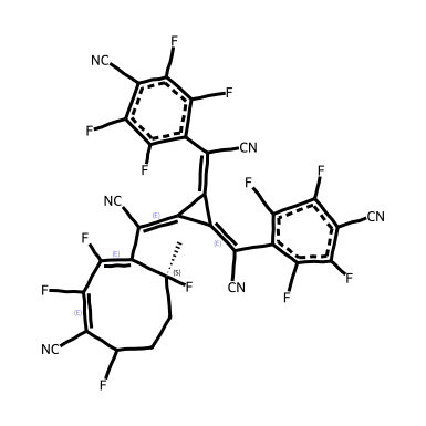 C[C@]1(F)CCC(F)\C(C#N)=C(F)/C(F)=C1/C(C#N)=C1/C(=C(C#N)c2c(F)c(F)c(C#N)c(F)c2F)/C1=C(/C#N)c1c(F)c(F)c(C#N)c(F)c1F